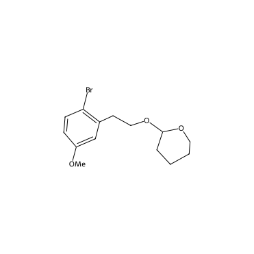 COc1ccc(Br)c(CCOC2CCCCO2)c1